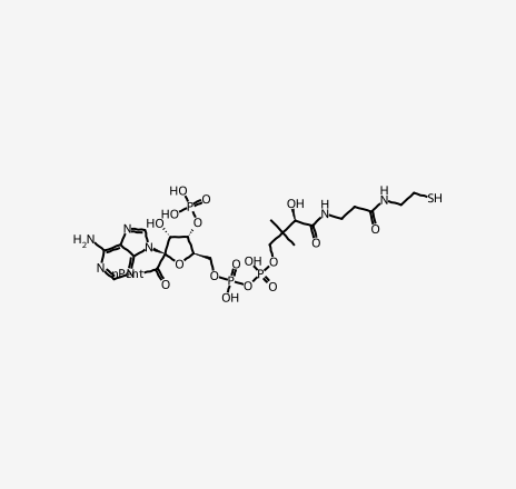 CCCCCC(=O)[C@@]1(n2cnc3c(N)ncnc32)O[C@H](COP(=O)(O)OP(=O)(O)OCC(C)(C)[C@@H](O)C(=O)NCCC(=O)NCCS)[C@@H](OP(=O)(O)O)[C@H]1O